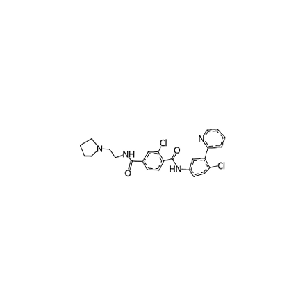 O=C(NCCN1CCCC1)c1ccc(C(=O)Nc2ccc(Cl)c(-c3ccccn3)c2)c(Cl)c1